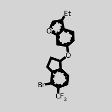 CCc1coc2cc(OC3CCc4c3ccc(C(F)(F)F)c4Br)ccc12